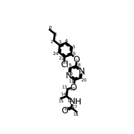 CCCc1ccc(Oc2cnc(OCC(C)NC(C)=O)cn2)c(Cl)c1